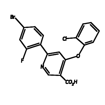 O=C(O)c1cnc(-c2ccc(Br)cc2F)cc1Oc1ccccc1Cl